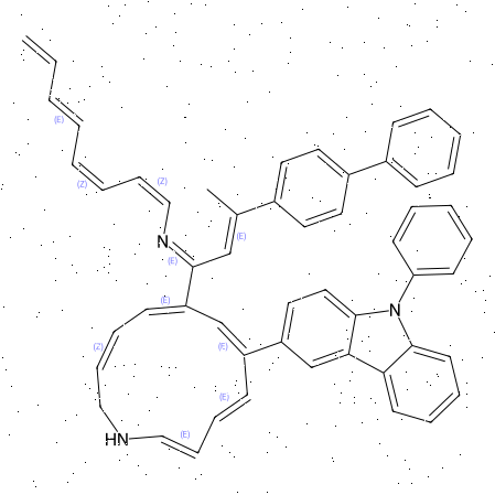 C=C/C=C/C=C\C=C/N=C(\C=C(/C)c1ccc(-c2ccccc2)cc1)C1=C/C=C\CN/C=C/C=C/C(c2ccc3c(c2)c2ccccc2n3-c2ccccc2)=C\1